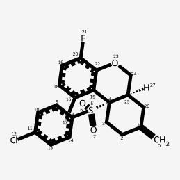 C=C1CC[C@@]2(S(=O)(=O)c3ccc(Cl)cc3)c3c(F)ccc(F)c3OC[C@H]2C1